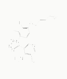 Nc1c(Br)cncc1-c1nnnn1-c1ccc(OCCCCBr)c(F)c1F